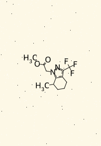 COC(=O)Cn1nc(C(F)(F)F)c2c1C(C)CCC2